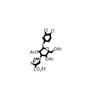 CCOC(=O)c1cn(C2C(OC(C)=O)C(COC(C)=O)OC(Sc3ccc(Cl)c(Cl)c3)C2OC(C)=O)nn1